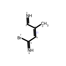 C/C(C=N)=C/C(=N)Br